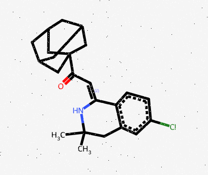 CC1(C)Cc2cc(Cl)ccc2/C(=C/C(=O)C23CC4CC(CC(C4)C2)C3)N1